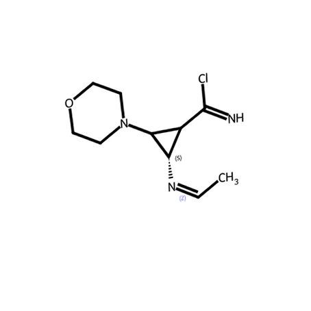 C/C=N\[C@H]1C(C(=N)Cl)C1N1CCOCC1